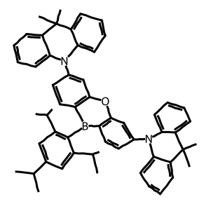 CC(C)c1cc(C(C)C)c(B2c3ccc(N4c5ccccc5C(C)(C)c5ccccc54)cc3Oc3cc(N4c5ccccc5C(C)(C)c5ccccc54)ccc32)c(C(C)C)c1